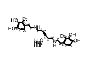 Br.Br.CCc1c(CCNCCC#CCCNCCc2ccc(O)c(O)c2CC)ccc(O)c1O.O